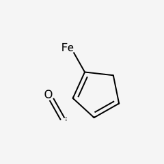 [C]=O.[Fe][C]1=CC=CC1